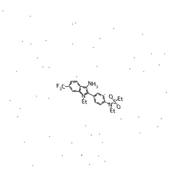 CCN(c1ccc(-c2c(N)c3ccc(C(F)(F)F)cc3n2CC)cc1)S(=O)(=O)CC